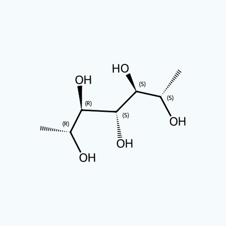 C[C@H](O)[C@H](O)[C@H](O)[C@H](O)[C@@H](C)O